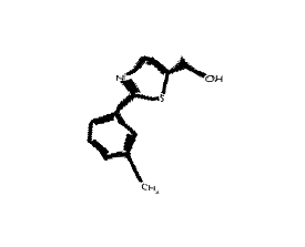 Cc1cccc(-c2ncc(CO)s2)c1